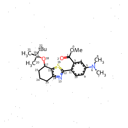 COC(=O)c1cc(N(C)C)ccc1-c1nc2c(s1)C(O[Si](C)(C)C(C)(C)C)CCC2